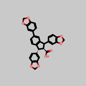 O=C(O)[C@@H]1C(c2ccc3c(c2)OCO3)c2cc(-c3ccc4c(c3)OCO4)ccc2[C@H]1c1ccc2c(c1)OCO2